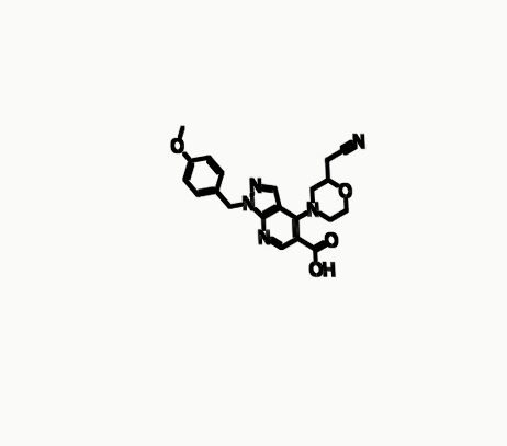 COc1ccc(Cn2ncc3c(N4CCOC(CC#N)C4)c(C(=O)O)cnc32)cc1